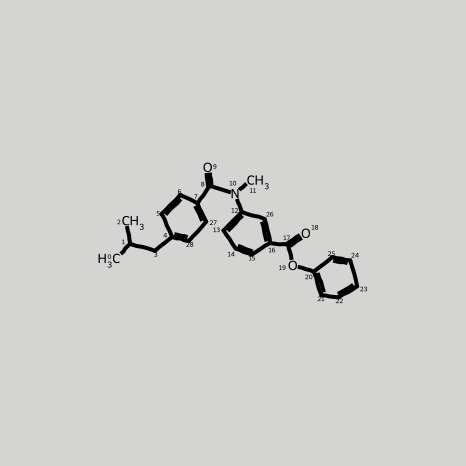 CC(C)Cc1ccc(C(=O)N(C)c2cccc(C(=O)Oc3ccccc3)c2)cc1